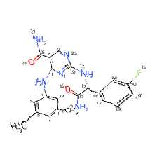 Cc1cc(C)cc(Nc2nc(N[C@@H](C(N)=O)c3cccc(F)c3)ncc2C(N)=O)c1